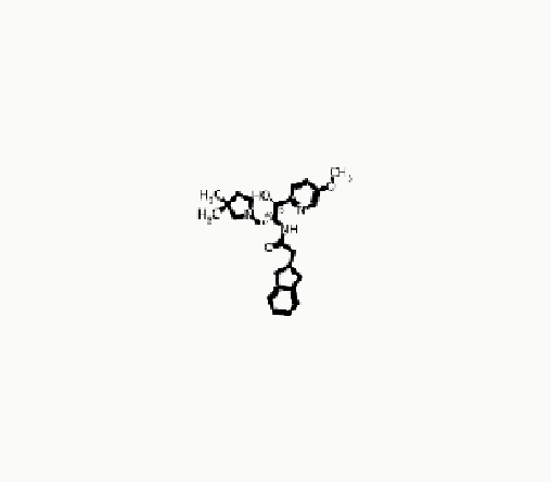 COc1ccc([C@@H](O)[C@@H](CN2CCC(C)(C)C2)NC(=O)CC2Cc3ccccc3C2)nc1